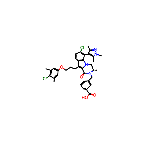 Cc1cc(OCCCc2c3n(c4c(-c5c(C)nn(C)c5C)c(Cl)ccc24)C[C@@H](C)N(Cc2cccc(C(=O)O)c2)C3=O)cc(C)c1Cl